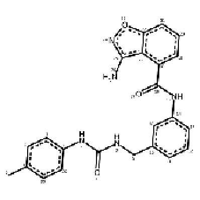 Cc1ccc(NC(=O)NCc2cccc(NC(=O)c3cccc4onc(N)c34)c2)cc1